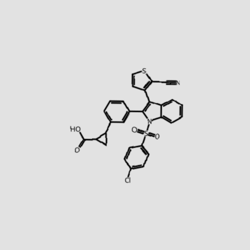 N#Cc1sccc1-c1c(-c2cccc(C3CC3C(=O)O)c2)n(S(=O)(=O)c2ccc(Cl)cc2)c2ccccc12